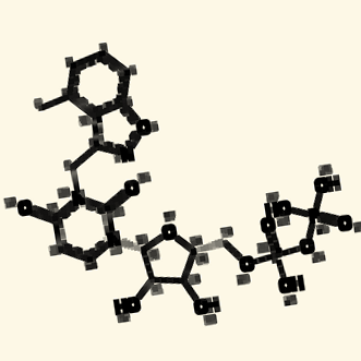 Cc1cccc2onc(Cn3c(=O)ccn([C@@H]4O[C@H](COP(=O)(O)OP(=O)(O)O)C(O)C4O)c3=O)c12